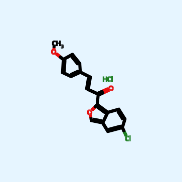 COc1ccc(C=CC(=O)c2occ3cc(Cl)ccc23)cc1.Cl